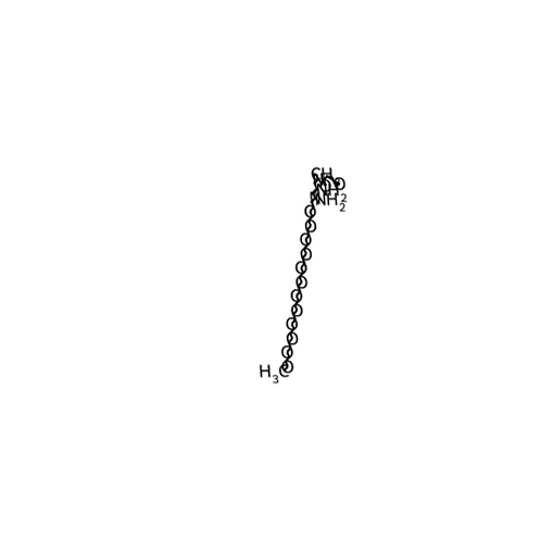 COCCOCCOCCOCCOCCOCCOCCOCCOCCOCCOCCOCCN(N)/C=C(\N)CN(C)C(=O)/C=C\C=O